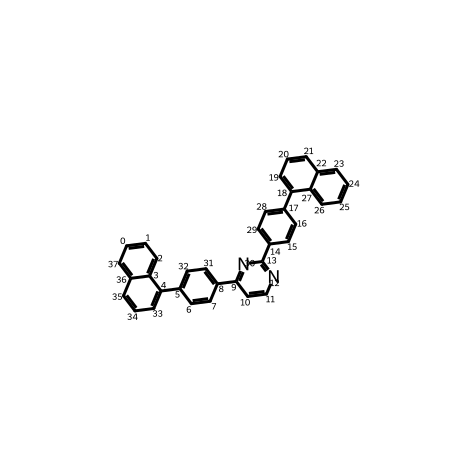 c1ccc2c(-c3ccc(-c4ccnc(-c5ccc(-c6cccc7ccccc67)cc5)n4)cc3)cccc2c1